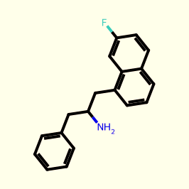 NC(Cc1ccccc1)Cc1cccc2ccc(F)cc12